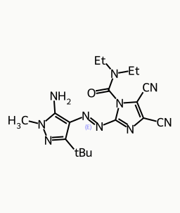 CCN(CC)C(=O)n1c(/N=N/c2c(C(C)(C)C)nn(C)c2N)nc(C#N)c1C#N